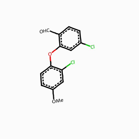 COc1ccc(Oc2cc(Cl)ccc2C=O)c(Cl)c1